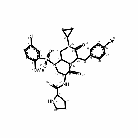 COc1ccc(Cl)cc1S(=O)(=O)N1CC(NC(=O)C2CCCN2)C(=O)N2C(Cc3ccc(Br)cc3)C(=O)N(C3CC3)CC21